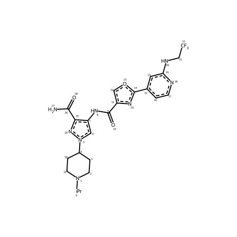 CC(C)N1CCC(n2cc(NC(=O)c3coc(-c4ccnc(NCC(F)(F)F)c4)n3)c(C(N)=O)n2)CC1